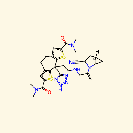 C=C(CNCCC1(c2nn[nH]n2)c2sc(C(=O)N(C)C)cc2CCc2cc(C(=O)N(C)C)sc21)N1C(C#N)C[C@@H]2CC21